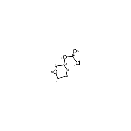 O=C(Cl)OC1CCCOC1